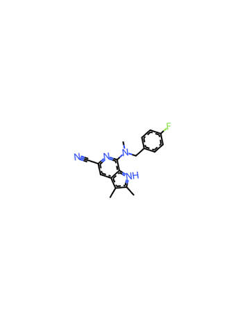 Cc1[nH]c2c(N(C)Cc3ccc(F)cc3)nc(C#N)cc2c1C